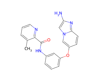 Cc1cccnc1C(=O)Nc1cccc(Oc2ccc3nc(N)cn3c2)c1